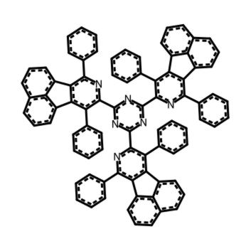 c1ccc(-c2nc(-c3nc(-c4nc(-c5ccccc5)c5c(c4-c4ccccc4)-c4cccc6cccc-5c46)nc(-c4nc(-c5ccccc5)c5c(c4-c4ccccc4)-c4cccc6cccc-5c46)n3)c(-c3ccccc3)c3c2-c2cccc4cccc-3c24)cc1